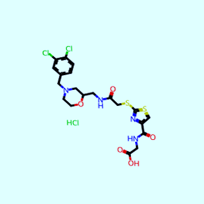 Cl.O=C(O)CNC(=O)c1csc(SCC(=O)NCC2CN(Cc3ccc(Cl)c(Cl)c3)CCO2)n1